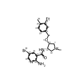 CCc1cc(CO[C@H]2CN(C)C[C@@H]2NC(=O)c2cc(Br)cnc2N)ccc1C